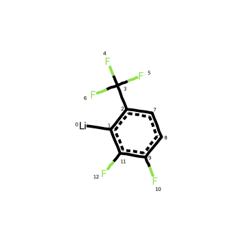 [Li][c]1c(C(F)(F)F)ccc(F)c1F